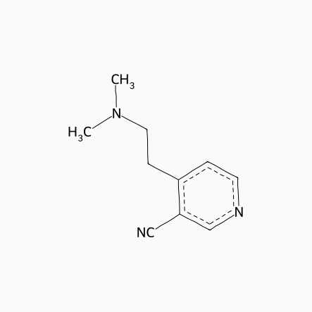 CN(C)CCc1ccncc1C#N